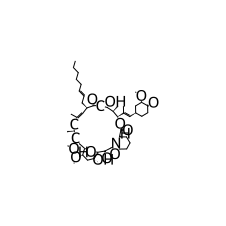 CCCCC/C=C/C[C@@H]1/C=C(\C)C[C@H](C)C[C@H](OC)[C@H]2O[C@@](O)(C(=O)C(=O)N3CCCC[C@H]3C(=O)O[C@H](/C(C)=C/[C@@H]3CCC(=O)[C@H](OC)C3)[C@H](C)[C@@H](O)CC1=O)[C@H](C)C[C@@H]2OC